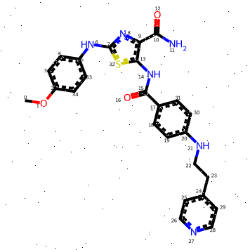 COc1ccc(Nc2nc(C(N)=O)c(NC(=O)c3ccc(NCCc4ccncc4)cc3)s2)cc1